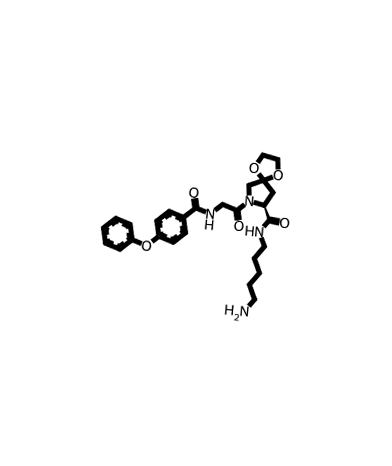 NCCCCCNC(=O)[C@@H]1CC2(CN1C(=O)CNC(=O)c1ccc(Oc3ccccc3)cc1)OCCO2